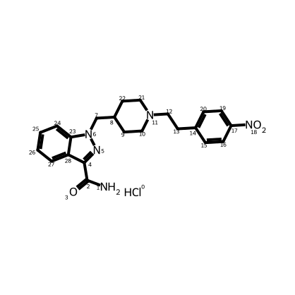 Cl.NC(=O)c1nn(CC2CCN(CCc3ccc([N+](=O)[O-])cc3)CC2)c2ccccc12